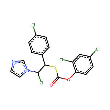 O=C(Oc1ccc(Cl)cc1Cl)SC(c1ccc(Cl)cc1)C(Cl)n1ccnc1